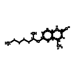 CCCCCC(O)Oc1ccc2oc(=O)cc(C)c2c1